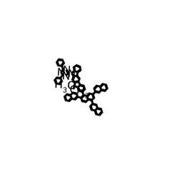 CC1(C)c2cc(-c3c(-c4ccc5ccccc5c4)ccc4c(-c5ccc6ccccc6c5)cc(-c5ccc6ccccc6c5)cc34)ccc2-c2cc3c4ccccc4n(-c4nc(-c5ccccc5)nc(-c5ccccc5)n4)c3cc21